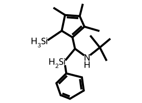 CC1=C(C)C([SiH3])C(C(NC(C)(C)C)[SiH2]c2ccccc2)=C1C